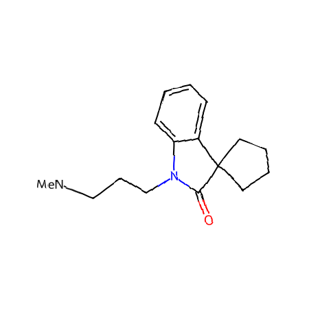 CNCCCN1C(=O)C2(CCCC2)c2ccccc21